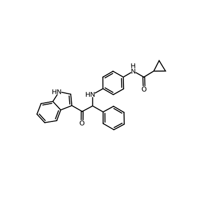 O=C(Nc1ccc(NC(C(=O)c2c[nH]c3ccccc23)c2ccccc2)cc1)C1CC1